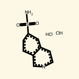 Cl.Cl.NS(=O)(=O)c1ccc2cnccc2c1